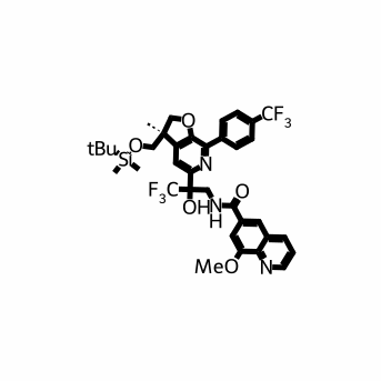 COc1cc(C(=O)NCC(O)(c2cc3c(c(-c4ccc(C(F)(F)F)cc4)n2)OC[C@]3(C)CO[Si](C)(C)C(C)(C)C)C(F)(F)F)cc2cccnc12